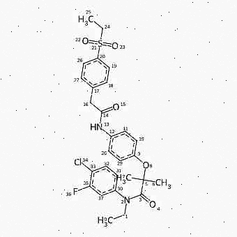 CCN(C(=O)C(C)(C)Oc1ccc(NC(=O)Cc2ccc(S(=O)(=O)CC)cc2)cc1)c1ccc(Cl)c(F)c1